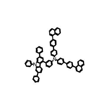 c1ccc(-c2ccc3c4c(-c5cccc(N(c6ccc(-c7ccc(-c8cccc9ccccc89)cc7)cc6)c6ccc(-c7ccc(-c8cccc9ccccc89)cc7)cc6)c5)cc(-c5ccccc5)cc4n(-c4ccccc4)c3c2)cc1